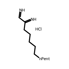 CCCCCCCCCCC(=N)C=N.Cl